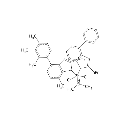 CC1=Cc2c(-c3ccc(C)c(C)c3C)ccc(C)c2[CH]1[Zr]([Cl])([Cl])([CH]1C(C(C)C)=Cc2c(-c3ccccc3)cccc21)[SiH](C)C